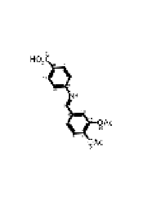 CC(=O)Oc1ccc(C=Nc2ccc(C(=O)O)cc2)cc1OC(C)=O